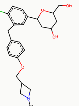 CC(=O)N1CC(COc2ccc(Cc3cc(C4CC(O)CC(CO)O4)ccc3Cl)cc2)C1